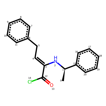 C[C@@H](N/C(=C\Cc1ccccc1)C(=O)Cl)c1ccccc1